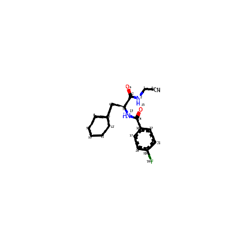 N#CCNC(=O)[C@H](CC1CCCCC1)NC(=O)c1ccc(F)cc1